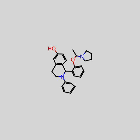 CC(Oc1ccccc1C1c2ccc(O)cc2CCN1c1ccccc1)N1CCCC1